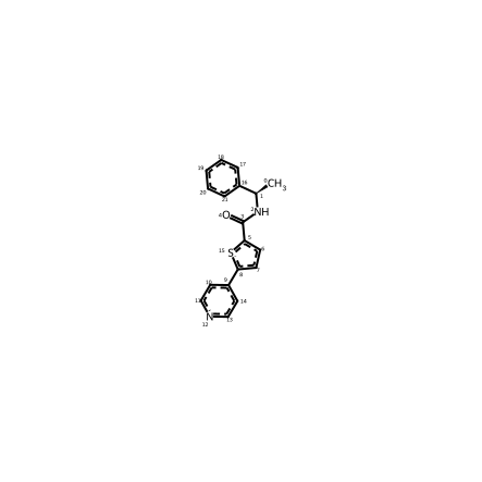 C[C@@H](NC(=O)c1ccc(-c2ccncc2)s1)c1ccccc1